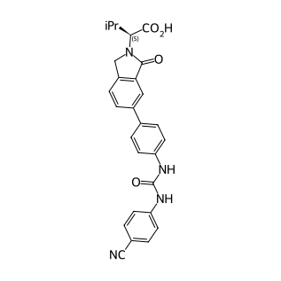 CC(C)[C@@H](C(=O)O)N1Cc2ccc(-c3ccc(NC(=O)Nc4ccc(C#N)cc4)cc3)cc2C1=O